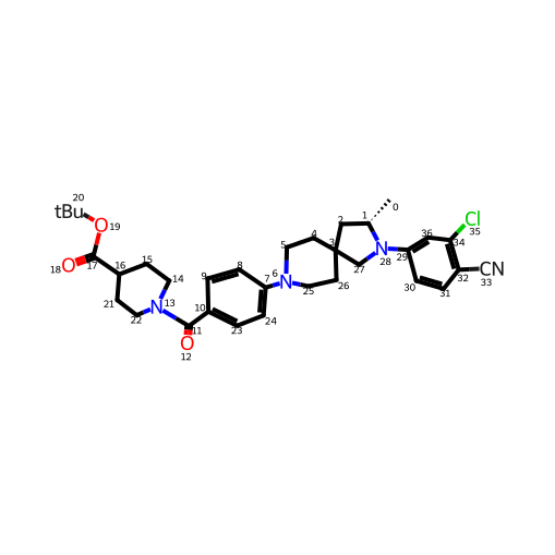 C[C@H]1CC2(CCN(c3ccc(C(=O)N4CCC(C(=O)OC(C)(C)C)CC4)cc3)CC2)CN1c1ccc(C#N)c(Cl)c1